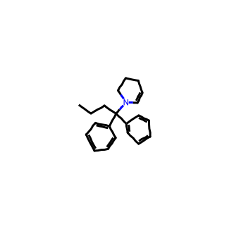 CCCC(c1ccccc1)(c1ccccc1)N1C=CCCC1